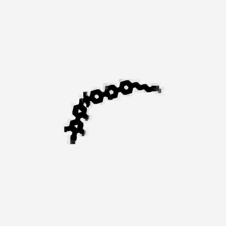 CCCCCC1CCC(C2COC(C3CCC(C(F)(F)Oc4ccc(-c5cc(F)c(C#N)c(F)c5)c(F)c4)CC3)OC2)CC1